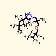 CCC(C)(C)CC(C)(C)c1cn(CC(C)(C)COCC(C)(C)C(C)C)nn1